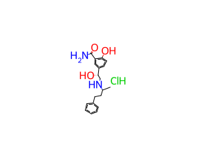 CC(CCc1ccccc1)NC[C@H](O)c1ccc(O)c(C(N)=O)c1.Cl